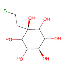 OC1C(O)[C@](O)(CCF)C(O)C(O)[C@H]1O